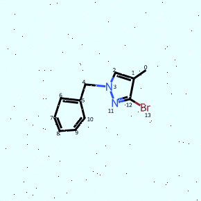 Cc1cn(Cc2ccccc2)nc1Br